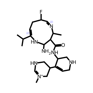 CC(C)/C1=C/CC(F)/C=N\C(C)C(C(=O)NC2CNCC=C2C2CNC=[N+](C)C2)C(N)N1